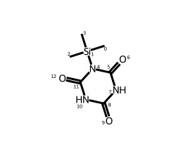 C[Si](C)(C)n1c(=O)[nH]c(=O)[nH]c1=O